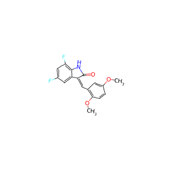 COc1ccc(OC)c(/C=C2\C(=O)Nc3c(F)cc(F)cc32)c1